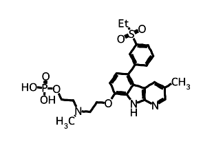 CCS(=O)(=O)c1cccc(-c2ccc(OCCN(C)CCOP(=O)(O)O)c3[nH]c4ncc(C)cc4c23)c1